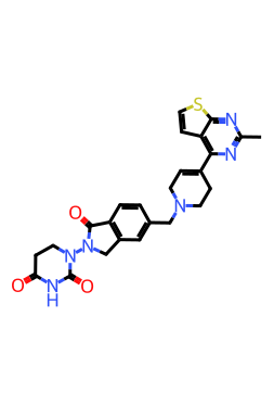 Cc1nc(C2=CCN(Cc3ccc4c(c3)CN(N3CCC(=O)NC3=O)C4=O)CC2)c2ccsc2n1